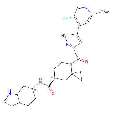 COc1cc(-c2cc(C(=O)N3CC[C@H](C(=O)N[C@@H]4CCC5CCNC5C4)CC34CC4)n[nH]2)c(F)cn1